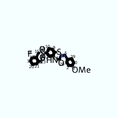 COc1ccc(/C=C2/Sc3ccc(S(=O)(=O)Cc4c(F)cccc4F)cc3NC2=O)cc1